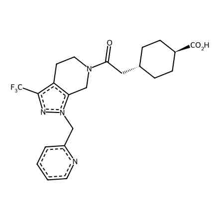 O=C(C[C@H]1CC[C@H](C(=O)O)CC1)N1CCc2c(C(F)(F)F)nn(Cc3ccccn3)c2C1